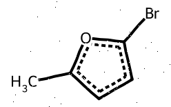 Cc1ccc(Br)o1